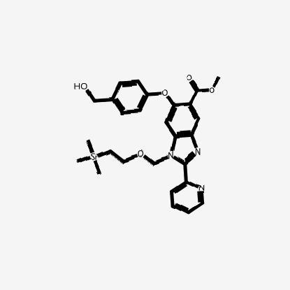 COC(=O)c1cc2nc(-c3ccccn3)n(COCC[Si](C)(C)C)c2cc1Oc1ccc(CO)cc1